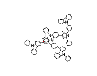 c1ccc(-c2nc(-c3cccc(-n4c5ccccc5c5ccccc54)c3)nc(-c3ccc(-n4c5ccccc5c5ccccc54)c(-n4c5ccc(-c6ccc7c(c6)c6ccccc6n7-c6ccccc6)cc5c5ccc(-c6cccc7c6c6ccccc6n7-c6ccccc6)cc54)c3)n2)cc1